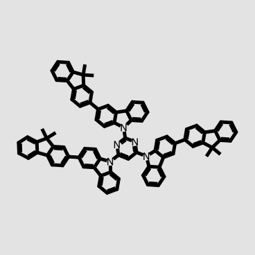 CC1(C)c2ccccc2-c2ccc(-c3ccc4c(c3)c3ccccc3n4-c3cc(-n4c5ccccc5c5cc(-c6ccc7c(c6)C(C)(C)c6ccccc6-7)ccc54)nc(-n4c5ccccc5c5cc(-c6ccc7c(c6)C(C)(C)c6ccccc6-7)ccc54)n3)cc21